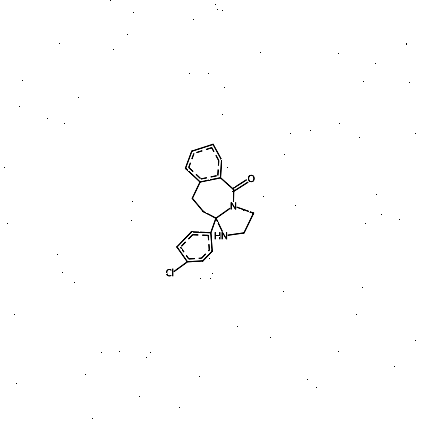 O=C1c2ccccc2CCC2(c3ccc(Cl)cc3)NCCN12